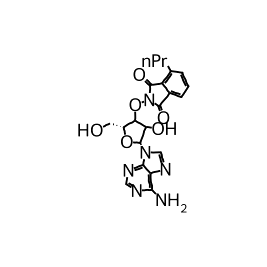 CCCc1cccc2c1C(=O)N(OC1C(O)[C@H](n3cnc4c(N)ncnc43)O[C@@H]1CO)C2=O